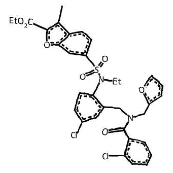 CCOC(=O)c1oc2cc(S(=O)(=O)N(CC)c3ccc(Cl)cc3CN(Cc3ccco3)C(=O)c3ccccc3Cl)ccc2c1C